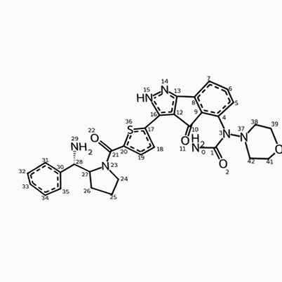 NC(=O)N(c1cccc2c1C(=O)c1c-2n[nH]c1-c1ccc(C(=O)N2CCCC2[C@@H](N)c2ccccc2)s1)N1CCOCC1